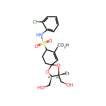 CC[C@]1(CO)OC2(C=C(C(=O)O)C(S(=O)(=O)Nc3ccccc3Cl)CC2)O[C@@H]1CO